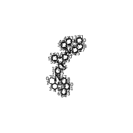 C1=Cc2ccccc2C(N(c2ccc3c(c2)sc2c4ccc(N(c5ccc6ccc7ccccc7c6c5)c5cccc6ccccc56)cc4c4ccccc4c32)c2ccc3ccc4ccccc4c3c2)C1